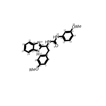 COc1ccc(CC(NC(=O)Nc2cccc(OC)c2)c2nc3ccccc3[nH]2)cc1